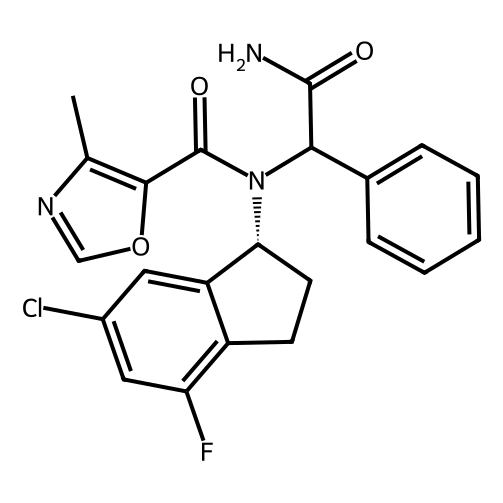 Cc1ncoc1C(=O)N(C(C(N)=O)c1ccccc1)[C@@H]1CCc2c(F)cc(Cl)cc21